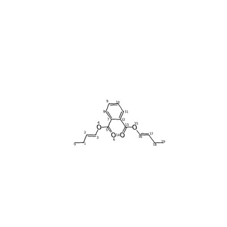 CCC=COC(=O)c1ccccc1C(=O)OC=CCC